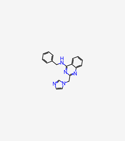 c1ccc(CNc2nc(Cn3ccnc3)nc3ccccc23)cc1